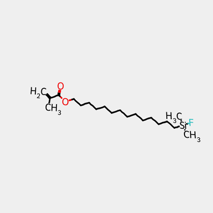 C=C(C)C(=O)OCCCCCCCCCCCCCC[Si](C)(C)F